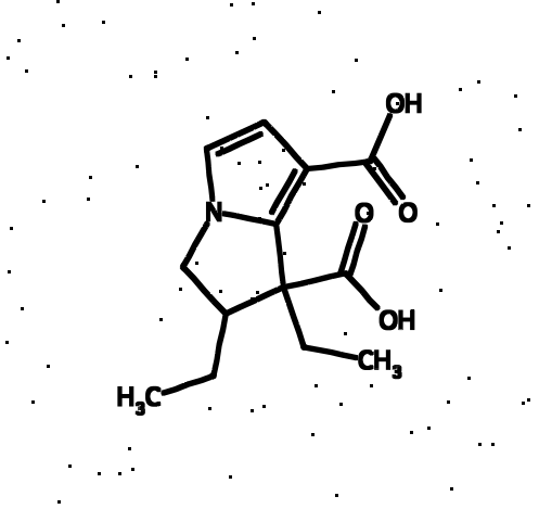 CCC1Cn2ccc(C(=O)O)c2C1(CC)C(=O)O